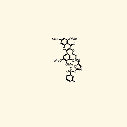 COc1cc(OC)c2c(=O)c(OCCCSc3nnc(OS(=O)(=O)c4cccc(F)c4)o3)c(-c3cc(OC)c(OC)c(OC)c3)oc2c1